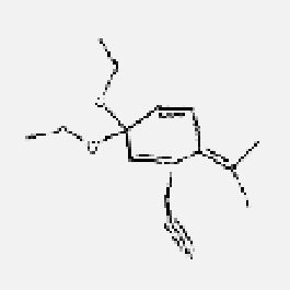 CCOC1(OCC)C=CC(=C(C)C)C(C#N)=C1